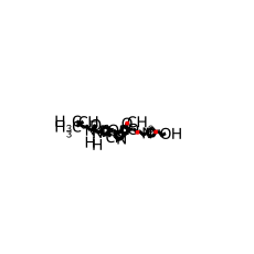 COc1cc2c(Oc3ccc(NC(=O)NCCC(C)(C)C)cc3Cl)ccnc2cc1OCCCN1CCC(CCO)CC1